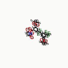 CC1(C)OB(c2cc(C(=O)ON3C(=O)CCC3=O)cc(C(F)(F)c3cc(B4OC(C)(C)C(C)(C)O4)cc(C(F)(F)F)c3)c2)OC1(C)C